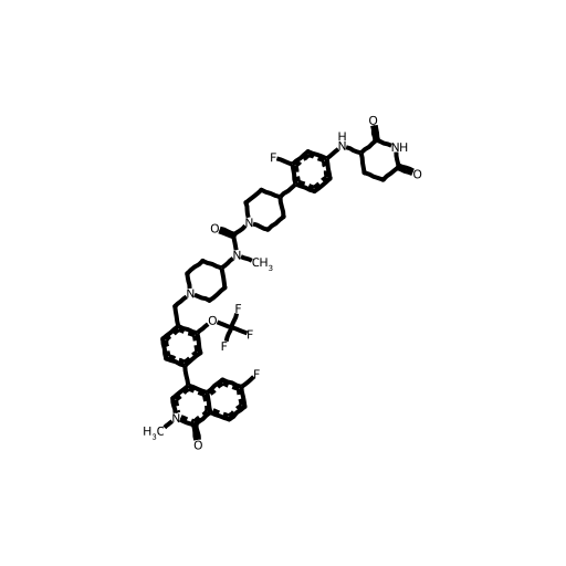 CN(C(=O)N1CCC(c2ccc(NC3CCC(=O)NC3=O)cc2F)CC1)C1CCN(Cc2ccc(-c3cn(C)c(=O)c4ccc(F)cc34)cc2OC(F)(F)F)CC1